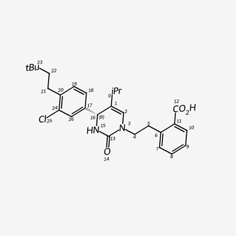 CC(C)C1=CN(CCc2ccccc2C(=O)O)C(=O)N[C@@H]1c1ccc(CCC(C)(C)C)c(Cl)c1